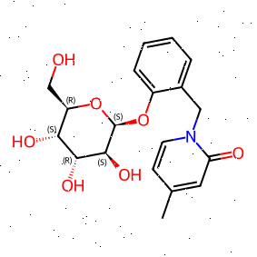 Cc1ccn(Cc2ccccc2O[C@@H]2O[C@H](CO)[C@@H](O)[C@@H](O)[C@@H]2O)c(=O)c1